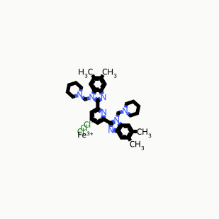 Cc1cc2nc(-c3cccc(-c4nc5cc(C)c(C)cc5n4CN4CCCCC4)n3)n(CN3CCCCC3)c2cc1C.[Cl-].[Cl-].[Cl-].[Fe+3]